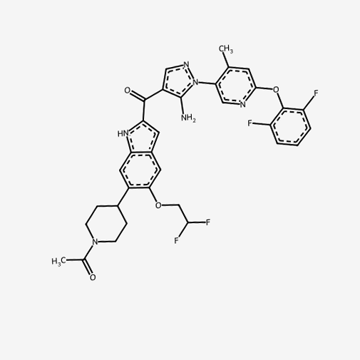 CC(=O)N1CCC(c2cc3[nH]c(C(=O)c4cnn(-c5cnc(Oc6c(F)cccc6F)cc5C)c4N)cc3cc2OCC(F)F)CC1